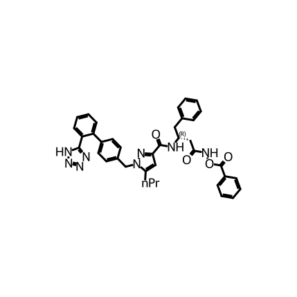 CCCc1cc(C(=O)N[C@@H](CC(=O)NOC(=O)c2ccccc2)Cc2ccccc2)nn1Cc1ccc(-c2ccccc2-c2nnn[nH]2)cc1